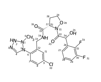 CN1NN=CN1c1ccc(Cl)cc1CNC(=O)[C@@H]1CCON1C(=O)C(O)c1cccc(F)c1F